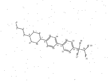 CCCCC1CCC(c2ccc(-c3ccc(C(F)(F)C(F)F)cc3)cc2)CC1